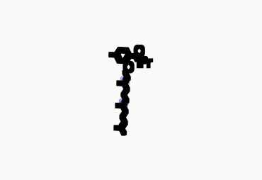 CC(C)=CCC/C(C)=C/CC/C(C)=C/COc1cc(C)ccc1C(=O)C(C)C